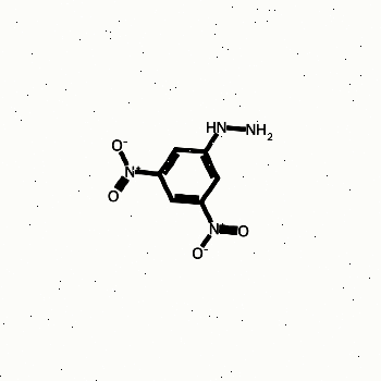 NNc1cc([N+](=O)[O-])cc([N+](=O)[O-])c1